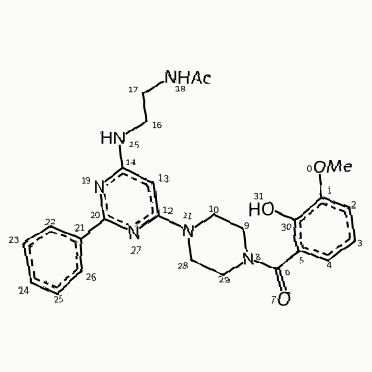 COc1cccc(C(=O)N2CCN(c3cc(NCCNC(C)=O)nc(-c4ccccc4)n3)CC2)c1O